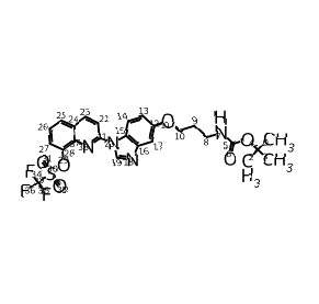 CC(C)(C)OC(=O)NCCCOc1ccc2c(c1)ncn2-c1ccc2cccc(OS(=O)(=O)C(F)(F)F)c2n1